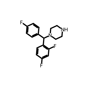 Fc1ccc(C(c2ccc(F)cc2F)N2CCNCC2)cc1